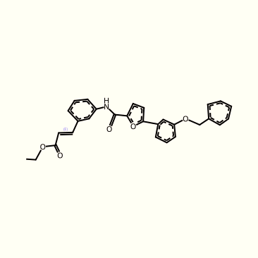 CCOC(=O)/C=C/c1cccc(NC(=O)c2ccc(-c3cccc(OCc4ccccc4)c3)o2)c1